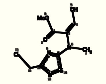 COC(=O)C(=CO)N(C)c1nc(CCl)ns1